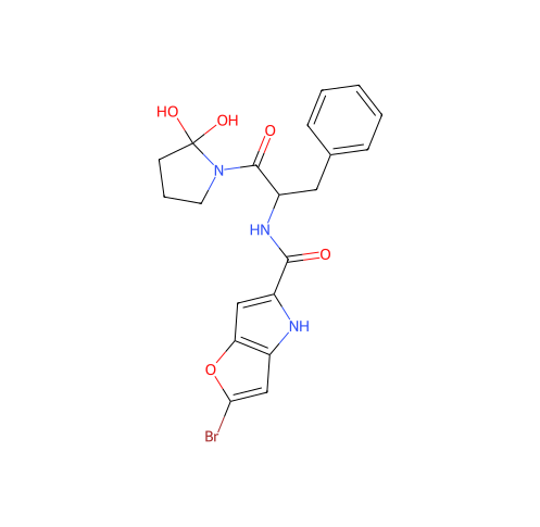 O=C(NC(Cc1ccccc1)C(=O)N1CCCC1(O)O)c1cc2oc(Br)cc2[nH]1